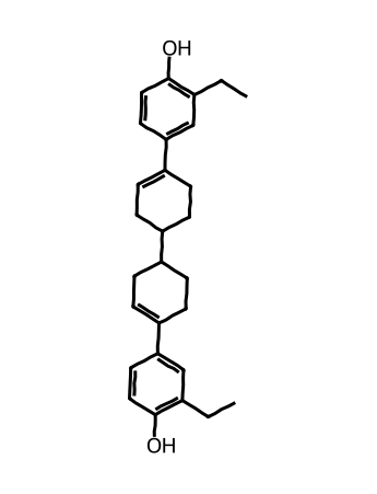 CCc1cc(C2=CCC(C3CC=C(c4ccc(O)c(CC)c4)CC3)CC2)ccc1O